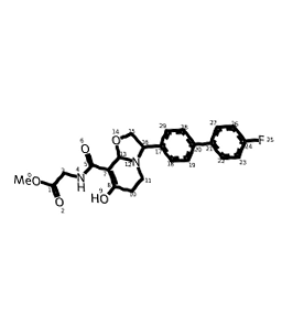 COC(=O)CNC(=O)C1=C(O)CCN2C1OCC2c1ccc(-c2ccc(F)cc2)cc1